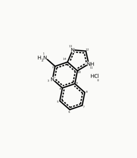 Cl.Nc1nc2ccccc2c2[nH]cnc12